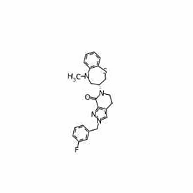 CN1C[C@@H](N2CCc3cn(Cc4cccc(F)c4)nc3C2=O)CSc2ccccc21